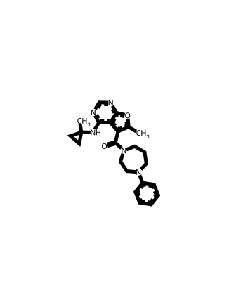 Cc1oc2ncnc(NC3(C)CC3)c2c1C(=O)N1CCCN(c2ccccc2)CC1